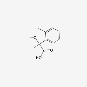 COC(C)(C(=O)O)c1ccccc1C